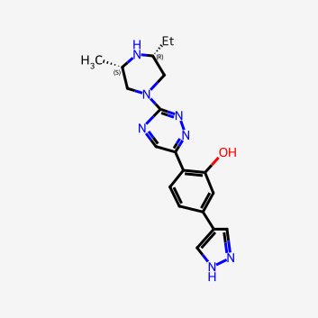 CC[C@@H]1CN(c2ncc(-c3ccc(-c4cn[nH]c4)cc3O)nn2)C[C@H](C)N1